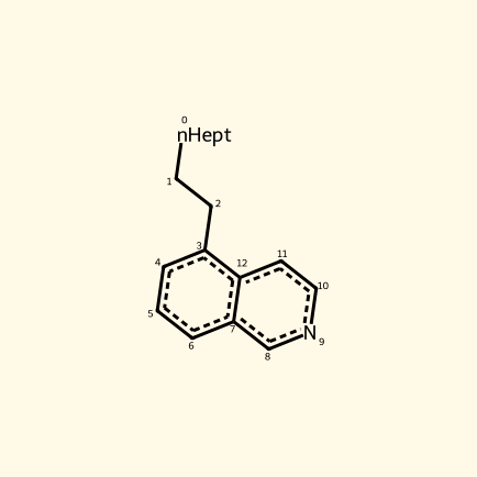 CCCCCCCCCc1cccc2cnccc12